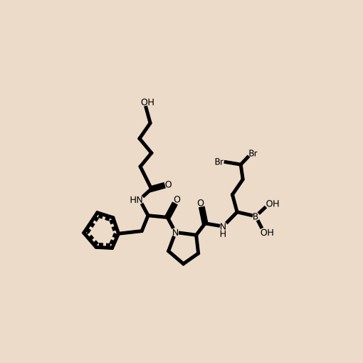 O=C(CCCCO)NC(Cc1ccccc1)C(=O)N1CCCC1C(=O)NC(CCC(Br)Br)B(O)O